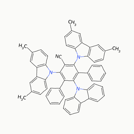 Cc1ccc2c(c1)c1cc(C)ccc1n2-c1c(C#N)c(-n2c3ccc(C)cc3c3cc(C)ccc32)c(-c2ccccc2)c(-n2c3ccccc3c3ccccc32)c1-c1ccccc1